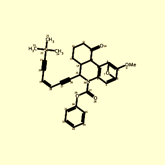 COc1c2cc3c(c1O2)C1C(=O)CCCC1C(C#C/C=C\C#C[Si](C)(C)C)N3C(=O)Oc1ccccc1